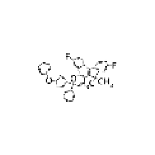 CC1(C)c2cc(F)ccc2-c2c1c1c(c3cc(F)ccc23)OC(c2ccccc2)(c2ccc(Oc3ccccc3)cc2)C=C1